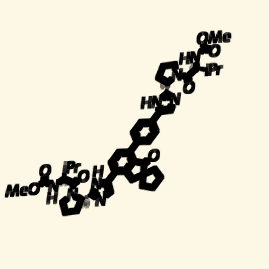 COC(=O)N[C@H](C(=O)N1CCC[C@H]1c1ncc(-c2ccc(-c3ccc(-c4cnc([C@@H]5CCCN5C(=O)[C@@H](NC(=O)OC)C(C)C)[nH]4)c4c3C(=O)C3(CCCC3)C4)cc2)[nH]1)C(C)C